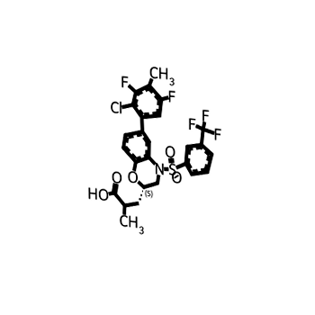 Cc1c(F)cc(-c2ccc3c(c2)N(S(=O)(=O)c2cccc(C(F)(F)F)c2)C[C@H](CC(C)C(=O)O)O3)c(Cl)c1F